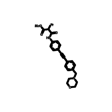 COC(=O)C(C(=O)Nc1ccc(C#Cc2ccc(CN3CCOCC3)cc2)cc1)C(C)C